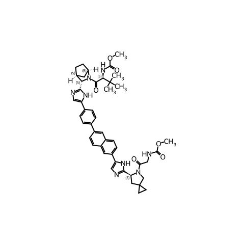 COC(=O)NCC(=O)N1CC2(CC2)C[C@H]1c1ncc(-c2ccc3cc(-c4ccc(-c5cnc([C@@H]6[C@H]7CC[C@H](C7)N6C(=O)[C@@H](NC(=O)OC)C(C)(C)C)[nH]5)cc4)ccc3c2)[nH]1